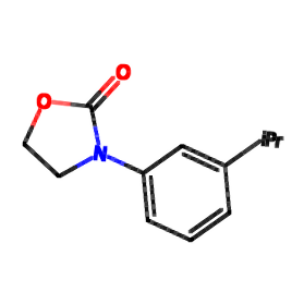 CC(C)c1cccc(N2CCOC2=O)c1